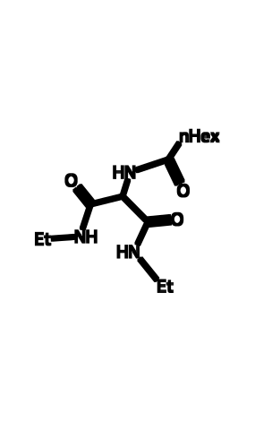 CCCCCCC(=O)NC(C(=O)NCC)C(=O)NCC